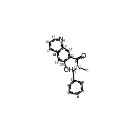 CN(Cc1ccccc1)C(=O)c1cc2ncccc2cc1O